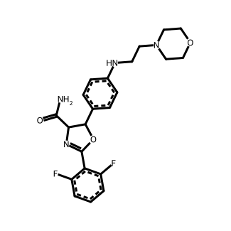 NC(=O)C1N=C(c2c(F)cccc2F)OC1c1ccc(NCCN2CCOCC2)cc1